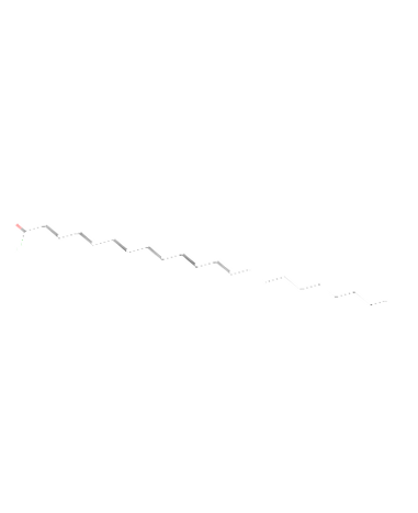 CCCCCCCCC/C=C/C=C/C=C/C=C/C=C/C=C/C(=O)Cl